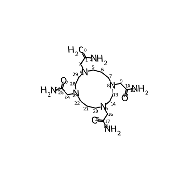 C=C(N)CN1CCCN(CC(N)=O)CCN(CC(N)=O)CCCN(CC(N)=O)CC1